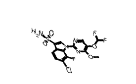 COc1nc(-n2cc(S(N)(=O)=O)c3ccc(Cl)c(F)c32)ncc1OC(F)F